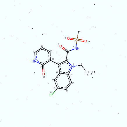 CCOC(=O)Cn1c(C(=O)NS(C)(=O)=O)c(-c2ccc[nH]c2=O)c2cc(Cl)ccc21